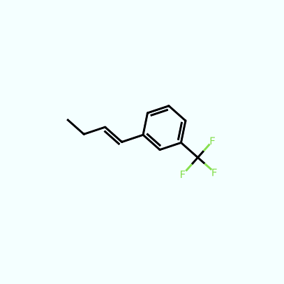 CC/C=C/c1cccc(C(F)(F)F)c1